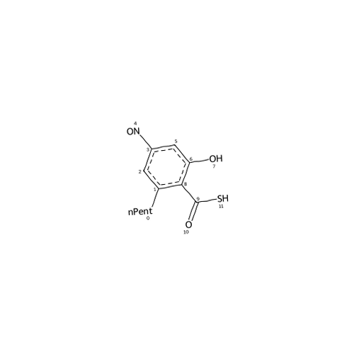 CCCCCc1cc(N=O)cc(O)c1C(=O)S